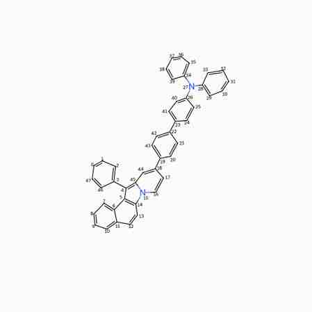 c1ccc(-c2c3c4ccccc4ccc3n3ccc(-c4ccc(-c5ccc(N(c6ccccc6)c6ccccc6)cc5)cc4)cc23)cc1